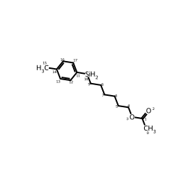 CC(=O)OCCCCCC[SiH2]c1ccc(C)cc1